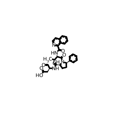 CC(C)[C@H](NC(=O)c1nccc2ccccc12)C(=O)N1[C@@H](c2ccccc2)CC[C@H]1C(=O)N[C@H](C=O)CC(=O)O